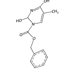 CC1=CN(C(=O)OCc2ccccc2)C(O)N=C1O